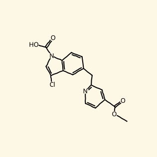 COC(=O)c1ccnc(Cc2ccc3c(c2)c(Cl)cn3C(=O)O)c1